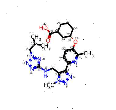 Cc1nc(-c2nnn(C)c2CNc2nnn(CC(C)C)n2)ccc1O[C@H]1CCCC(C(=O)O)C1